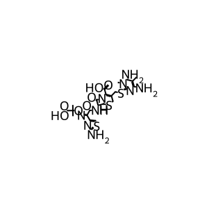 CC1=C(N)N=C(SCC2=C(C(=O)O)N3C(=O)C(NC(=O)/C(=N\OC(C)(C)C(=O)O)c4csc(N)n4)[C@@H]3SC2)N(C)C1N